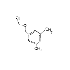 Cc1cc(C)cc(COCCl)c1